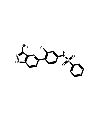 Nc1n[nH]c2ccc(-c3ccc(NS(=O)(=O)c4ccccc4)cc3Cl)nc12